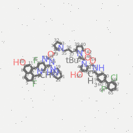 C#Cc1c(F)ccc2cc(O)cc(-c3ncc4c(N5CC6CCC(C5)N6)nc(OC[C@@H]5CCCN5CCC[C@H]5CCC(=O)N5[C@H](C(=O)N5C[C@H](O)C[C@H]5C(=O)N[C@@H](C)c5ccc(-c6c(F)cccc6Cl)cc5)C(C)(C)C)nc4c3F)c12